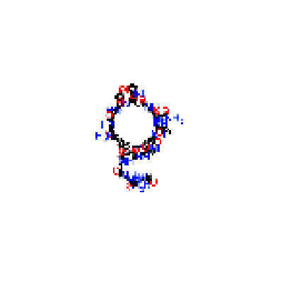 CC(C)C[C@@H]1NN[C@@H](CCC(N)=O)C(=O)CN[C@@H](C)C(=O)CC(=O)[C@H](Cc2c[nH]c3ccccc23)NC(=O)[C@H](Cc2ccc(O)cc2)NCC(=O)[C@H](C)NCC(=O)[C@](C)(N)CCCCCC/C=C/CCC[C@@](C)(C(=O)CN[C@@H](C)C(=O)CCN[C@@H](C)C(=O)CCC(=O)[C@H](C)NCCC(=O)[C@H](C)NCCC(=O)[C@H](C)NCN[C@H](C)C(N)=O)NC1=O